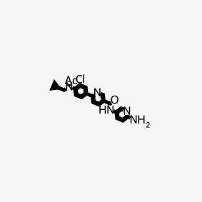 CC(=O)N(CC1CC1)c1ccc(-c2ccc(C(=O)Nc3ccc(N)nc3)cn2)cc1Cl